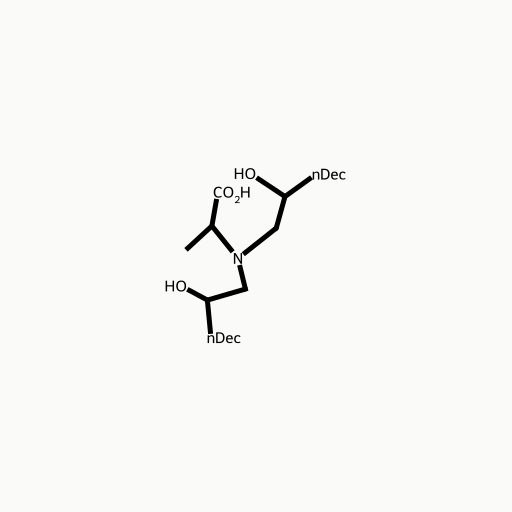 CCCCCCCCCCC(O)CN(CC(O)CCCCCCCCCC)C(C)C(=O)O